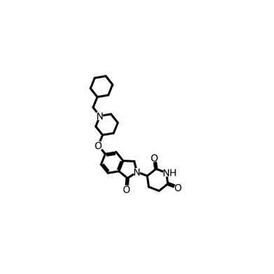 O=C1CCC(N2Cc3cc(OC4CCCN(CC5CCCCC5)C4)ccc3C2=O)C(=O)N1